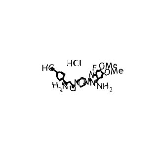 C#Cc1ccc([C@H](N)CC(=O)N2CCN(c3nc(N)c4cc(OC)c(OC)c(F)c4n3)CC2)cc1.Cl